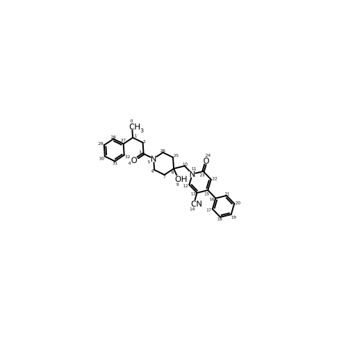 CC(CC(=O)N1CCC(O)(Cn2cc(C#N)c(-c3ccccc3)cc2=O)CC1)c1ccccc1